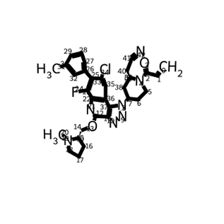 C=CC(=O)N1CCC(n2nnc3c(OC[C@@H]4CCCN4C)nc4c(F)c(-c5cccc(C)c5)c(Cl)cc4c32)C[C@H]1CC#N